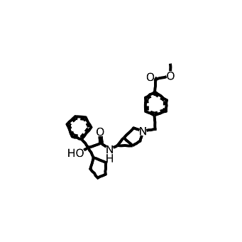 COC(=O)c1ccc(CN2CC3C(C2)C3NC(=O)C(O)(c2ccccc2)C2CCCC2)cc1